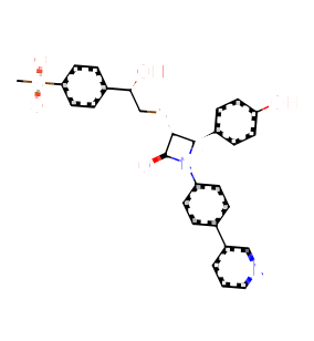 CS(=O)(=O)c1ccc([C@@H](O)CS[C@H]2C(=O)N(c3ccc(-c4cccnc4)cc3)[C@@H]2c2ccc(O)cc2)cc1